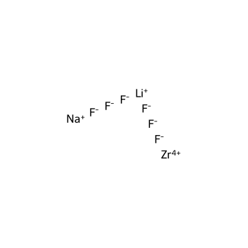 [F-].[F-].[F-].[F-].[F-].[F-].[Li+].[Na+].[Zr+4]